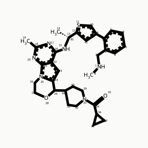 CNCc1ccccc1-c1csc([C@@H](C)Nc2nc(C)nc3c2cc2n3CCOC2C2CCN(C(=O)C3CC3)CC2)c1